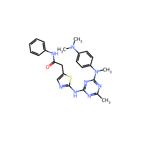 Cc1nc(Nc2ncc(CC(=O)Nc3ccccc3)s2)nc(N(C)c2ccc(N(C)C)cc2)n1